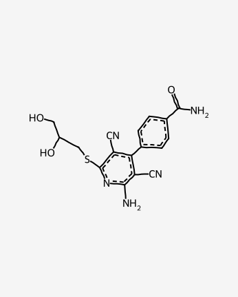 N#Cc1c(N)nc(SCC(O)CO)c(C#N)c1-c1ccc(C(N)=O)cc1